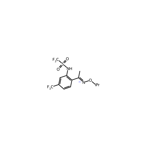 C/C(=N\OC(C)C)c1ccc(C(F)(F)F)cc1NS(=O)(=O)C(F)(F)F